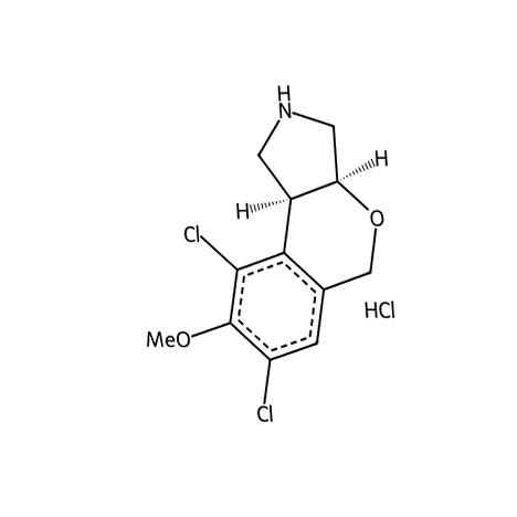 COc1c(Cl)cc2c(c1Cl)[C@H]1CNC[C@H]1OC2.Cl